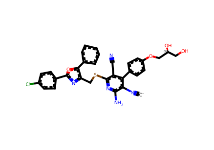 [C-]#[N+]c1c(N)nc(SCc2nc(-c3ccc(Cl)cc3)oc2-c2ccccc2)c(C#N)c1-c1ccc(OC[C@@H](O)CO)cc1